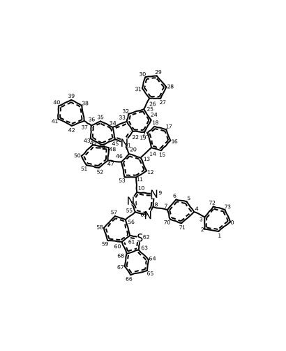 c1ccc(-c2ccc(-c3nc(-c4cc(-c5ccccc5)c(-n5c6ccc(-c7ccccc7)cc6c6cc(-c7ccccc7)ccc65)c(-c5ccccc5)c4)nc(-c4cccc5c4sc4ccccc45)n3)cc2)cc1